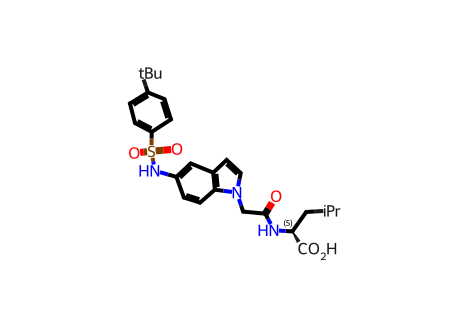 CC(C)C[C@H](NC(=O)Cn1ccc2cc(NS(=O)(=O)c3ccc(C(C)(C)C)cc3)ccc21)C(=O)O